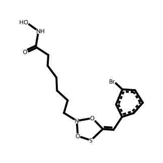 O=C(CCCCCCN1OSC(=Cc2cccc(Br)c2)O1)NO